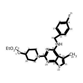 CCOC(=O)OC1CCN(c2nc(NCc3ccc(F)cc3)c3c(C)csc3n2)CC1